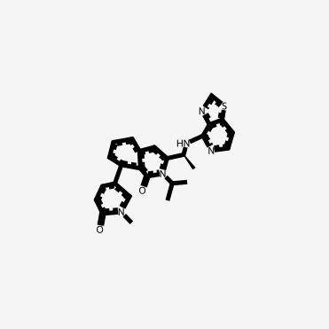 CC(C)n1c([C@H](C)Nc2nccc3scnc23)cc2cccc(-c3ccc(=O)n(C)c3)c2c1=O